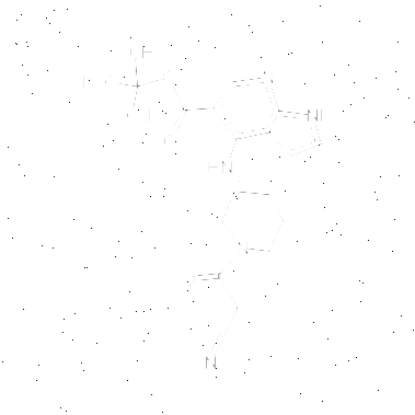 CC(C)(C)OC(=O)c1cnc2[nH]ccc2c1N[C@@H]1CCCN(C(=O)CC#N)C1